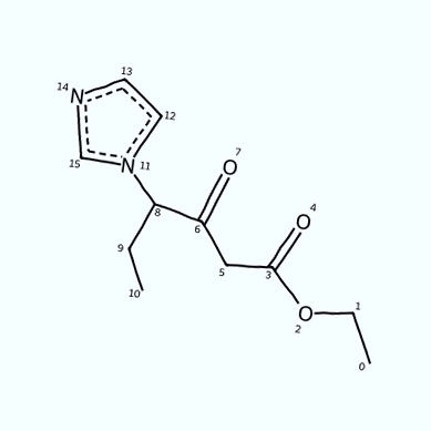 CCOC(=O)CC(=O)C(CC)n1ccnc1